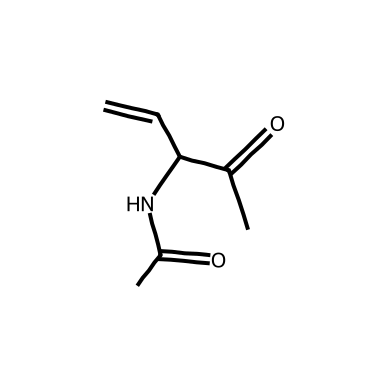 C=CC(NC(C)=O)C(C)=O